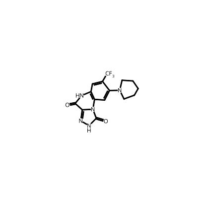 O=c1[nH]c2cc(C(F)(F)F)c(N3CCCCC3)cc2n2c(=O)[nH]nc12